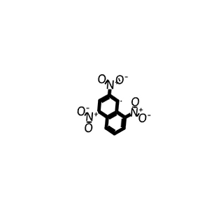 O=[N+]([O-])C1=CC([N+](=O)[O-])c2cccc([N+](=O)[O-])c2[CH]1